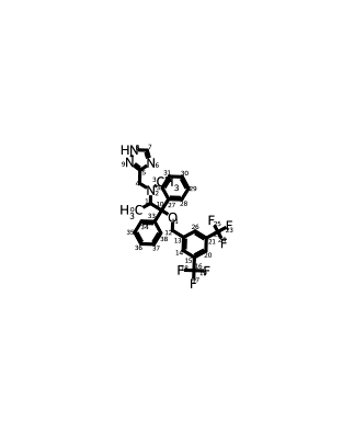 CC(N(C)Cc1nc[nH]n1)C(OCc1cc(C(F)(F)F)cc(C(F)(F)F)c1)(c1ccccc1)c1ccccc1